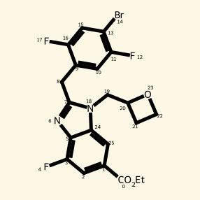 CCOC(=O)c1cc(F)c2nc(Cc3cc(F)c(Br)cc3F)n(CC3CCO3)c2c1